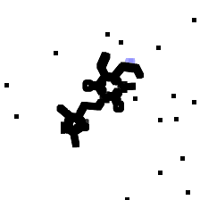 C=Cc1c(/C=C\C)n(C)c(=O)n(CCc2sc(C)nc2C)c1=O